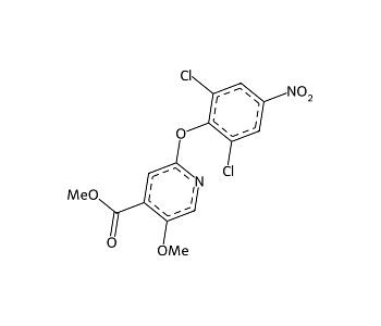 COC(=O)c1cc(Oc2c(Cl)cc([N+](=O)[O-])cc2Cl)ncc1OC